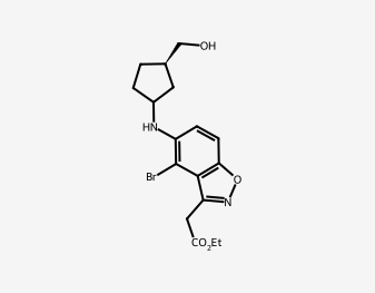 CCOC(=O)Cc1noc2ccc(NC3CC[C@@H](CO)C3)c(Br)c12